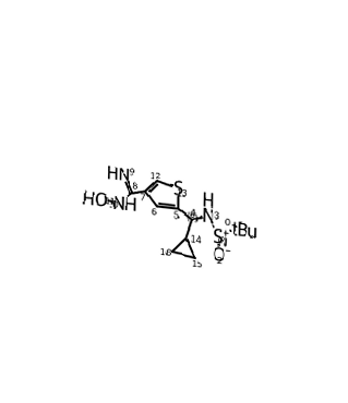 CC(C)(C)[S@+]([O-])N[C@H](c1cc(C(=N)NO)cs1)C1CC1